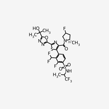 CC(NS(=O)(=O)c1ccc(-c2sc(-c3nnc(C(C)(C)O)o3)nc2C(=O)N2CC(F)C[C@@H]2C)c(C(F)F)c1F)C(F)(F)F